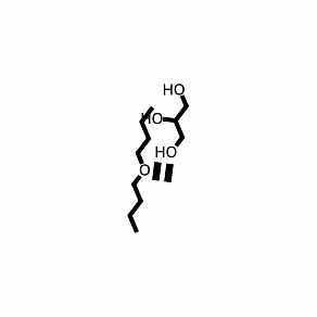 C=C.C=C.CCCCOCCCC.OCC(O)CO